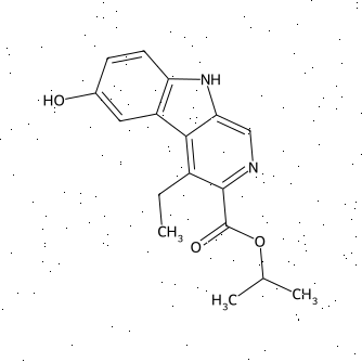 CCc1c(C(=O)OC(C)C)ncc2[nH]c3ccc(O)cc3c12